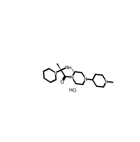 CN1CCC(N2CCN(C(=O)[C@@](C)(N)N3CCCCC3)CC2)CC1.Cl